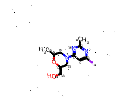 Cc1nc(I)cc(N2CC(C)OC(CO)C2)n1